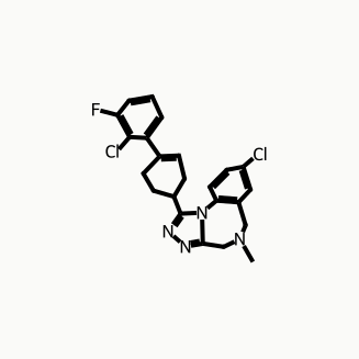 CN1Cc2cc(Cl)ccc2-n2c(nnc2C2CC=C(c3cccc(F)c3Cl)CC2)C1